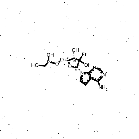 CCC1(O)[C@@H](O)[C@@H](OOP(O)CO)O[C@H]1n1ccc2c(N)ncnc21